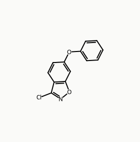 Clc1noc2cc(Oc3ccccc3)ccc12